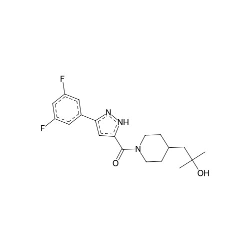 CC(C)(O)CC1CCN(C(=O)c2cc(-c3cc(F)cc(F)c3)n[nH]2)CC1